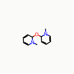 CN1C=CC=CC1OC1C=CC=CN1C